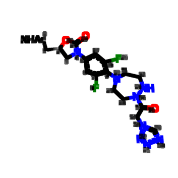 CC(=O)NC[C@H]1CN(c2cc(F)c(N3CCNN(C(=O)Cn4cnnn4)CC3)c(F)c2)C(=O)O1